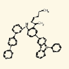 C=C(/C=C\CCC)c1cc(-c2ccc3c(c2)c2ccccc2n3-c2ccccc2)ccc1Nc1cccc(-c2ccc(-c3ccccc3)cc2)c1